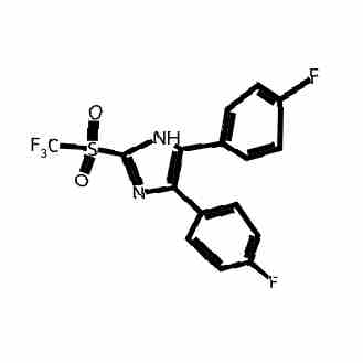 O=S(=O)(c1nc(-c2ccc(F)cc2)c(-c2ccc(F)cc2)[nH]1)C(F)(F)F